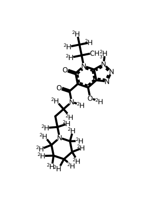 [2H]Oc1c(C(=O)N([2H])C([2H])([2H])CC([2H])([2H])N2C([2H])([2H])C([2H])([2H])C([2H])([2H])C([2H])([2H])C2([2H])[2H])c(=O)n(C([2H])(C)C([2H])([2H])[2H])c2c1nnn2[2H]